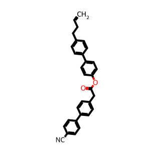 C=CCCc1ccc(-c2ccc(OC(=O)Cc3ccc(-c4ccc(C#N)cc4)cc3)cc2)cc1